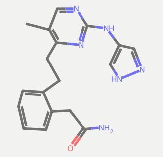 Cc1cnc(Nc2cn[nH]c2)nc1CCc1ccccc1CC(N)=O